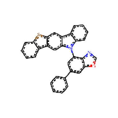 c1ccc(-c2cc(-n3c4ccccc4c4cc5sc6ccccc6c5cc43)c3ncoc3c2)cc1